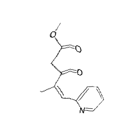 COC(=O)CC(=O)C(C)=Cc1ccccn1